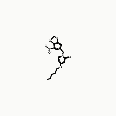 CCCCCOc1ccn(Cc2cc3c(c([N+](=O)[O-])c2)OCO3)c(=O)c1